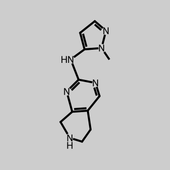 Cn1nccc1Nc1ncc2c(n1)CNCC2